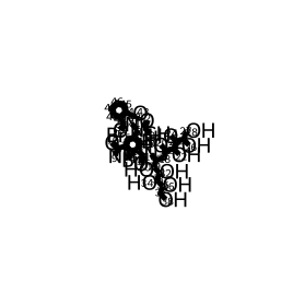 CC(=O)N(c1c(Br)c(C(N)=O)c(Br)c(C(=O)NC(CC(O)C(O)C(O)C(O)CO)C(O)C(O)C(O)C(O)CO)c1Br)N1C(=O)c2ccccc2C1=O